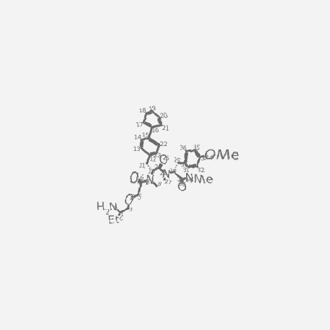 CCC(N)COCC(=O)N(C)[C@H](Cc1ccc(-c2ccccc2)cc1)C(=O)N(C)[C@H](Cc1ccc(OC)cc1)C(=O)NC